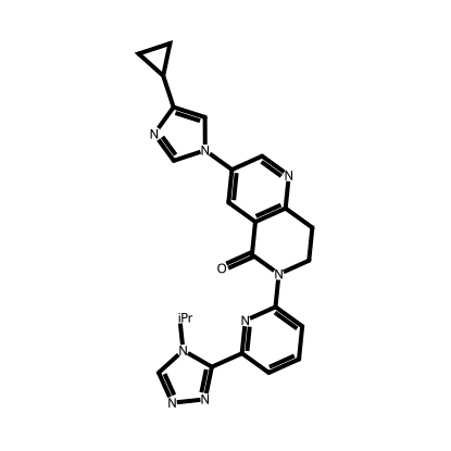 CC(C)n1cnnc1-c1cccc(N2CCc3ncc(-n4cnc(C5CC5)c4)cc3C2=O)n1